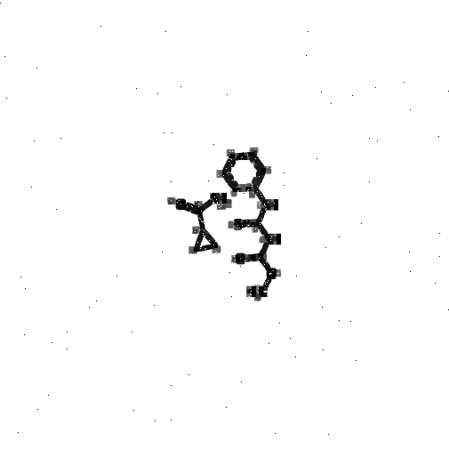 COC(=O)NC(=S)Nc1ccccc1.NC(=O)C1CC1